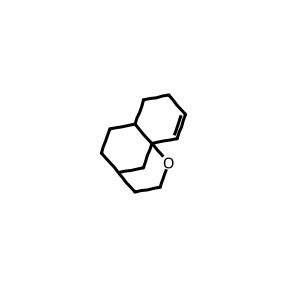 C1=CC23CC(CCO2)CCC3CC1